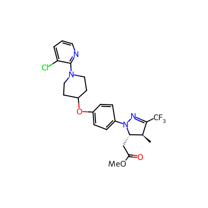 COC(=O)C[C@H]1[C@H](C)C(C(F)(F)F)=NN1c1ccc(OC2CCN(c3ncccc3Cl)CC2)cc1